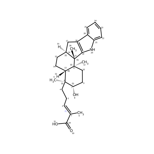 C/C(=C\CC[C@]1(C)[C@@H](O)CC[C@@]2(C)[C@H]1CC[C@H]1Cc3c([nH]c4ccccc34)[C@@]12C)C(=O)O